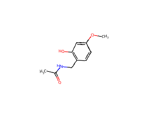 COc1ccc(CNC(C)=O)c(O)c1